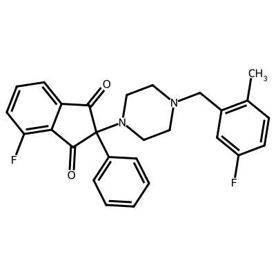 Cc1ccc(F)cc1CN1CCN(C2(c3ccccc3)C(=O)c3cccc(F)c3C2=O)CC1